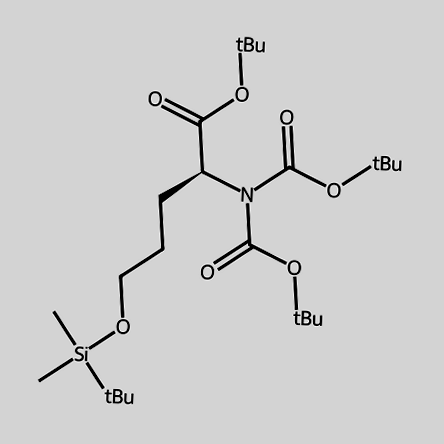 CC(C)(C)OC(=O)[C@H](CCCO[Si](C)(C)C(C)(C)C)N(C(=O)OC(C)(C)C)C(=O)OC(C)(C)C